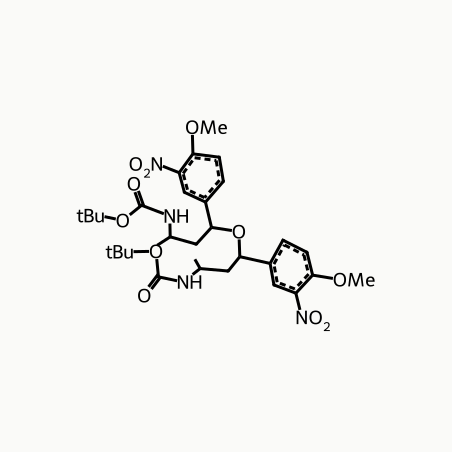 COc1ccc(C(CC(C)NC(=O)OC(C)(C)C)OC(CC(C)NC(=O)OC(C)(C)C)c2ccc(OC)c([N+](=O)[O-])c2)cc1[N+](=O)[O-]